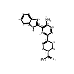 CC(C)C(=O)N1CC=C(c2cnc(N)c(-c3nc4ccccc4[nH]3)n2)CC1